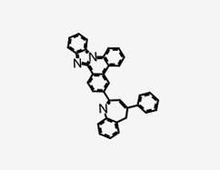 C1=C(c2ccccc2)Cc2ccccc2N=C1c1ccc2c(c1)c1ccccc1n1c3ccccc3nc21